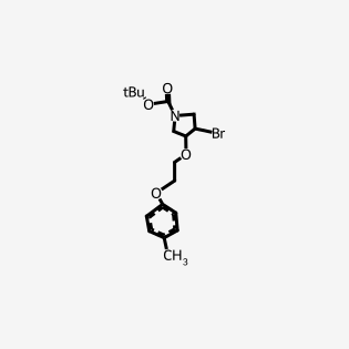 Cc1ccc(OCCOC2CN(C(=O)OC(C)(C)C)CC2Br)cc1